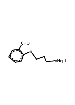 CCCCCCCCCCSc1ccccc1C=O